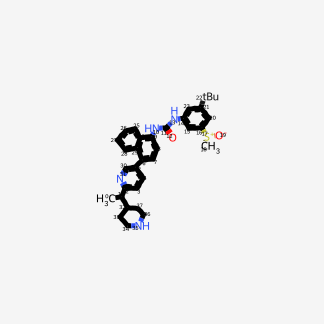 CC(c1ccc(-c2ccc(NC(=O)Nc3cc([S+](C)[O-])cc(C(C)(C)C)c3)c3ccccc23)cn1)C1CCNCC1